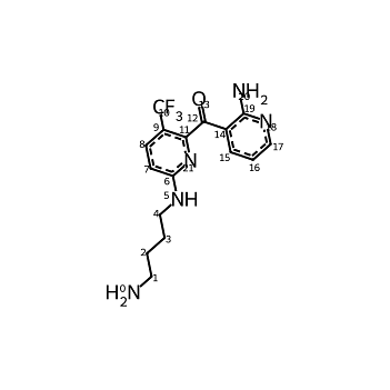 NCCCCNc1ccc(C(F)(F)F)c(C(=O)c2cccnc2N)n1